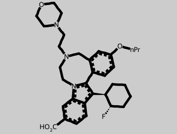 CCCOc1ccc2c(c1)CN(CCN1CCOCC1)CCn1c-2c([C@H]2CCCC[C@@H]2F)c2ccc(C(=O)O)cc21